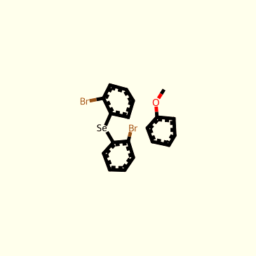 Brc1ccccc1[Se]c1ccccc1Br.COc1ccccc1